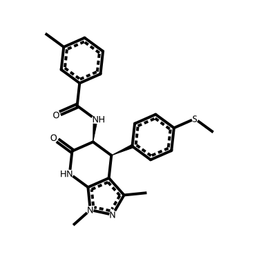 CSc1ccc([C@H]2c3c(C)nn(C)c3NC(=O)[C@H]2NC(=O)c2cccc(C)c2)cc1